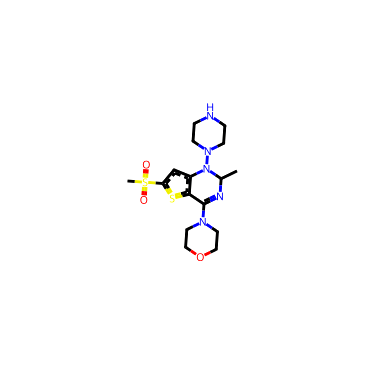 CC1N=C(N2CCOCC2)c2sc(S(C)(=O)=O)cc2N1N1CCNCC1